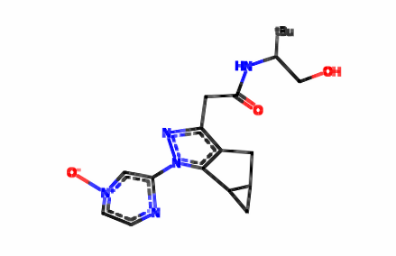 CC(C)(C)C(CO)NC(=O)Cc1nn(-c2c[n+]([O-])ccn2)c2c1CC1CC21